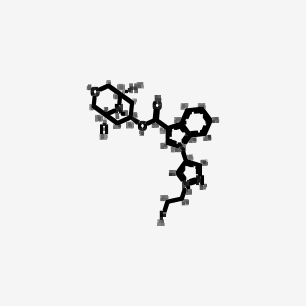 CN1[C@@H]2COC[C@H]1C[C@@H](OC(=O)c1cn(-c3cnn(CCF)c3)c3ccccc13)C2